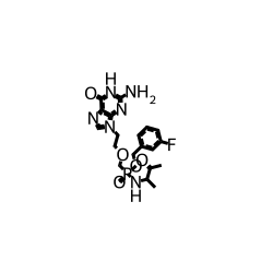 CC(=O)C(C)NP(=O)(COCCn1cnc2c(=O)[nH]c(N)nc21)OCc1cccc(F)c1